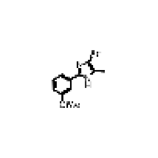 COc1cccc(-c2nc(C(C)=O)c(C)[nH]2)c1